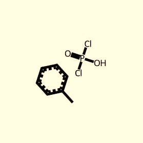 Cc1ccccc1.O=P(O)(Cl)Cl